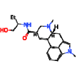 CCC(CO)NC(=O)[C@@H]1C=C2c3cccc4c3c(cn4C)C[C@H]2N(C)C1